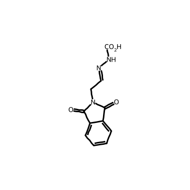 O=C(O)NN=CCN1C(=O)c2ccccc2C1=O